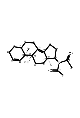 CC(=O)N(C(C)=O)C1CCC2=C3CCC4CCC=C[C@]4(C)[C@@H]3CC[C@@]21C